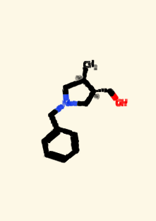 C[C@@H]1CN(Cc2ccccc2)C[C@H]1CO